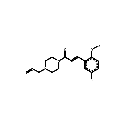 C=CCN1CCN(C(=O)C=Cc2cc(Br)ccc2OCC)CC1